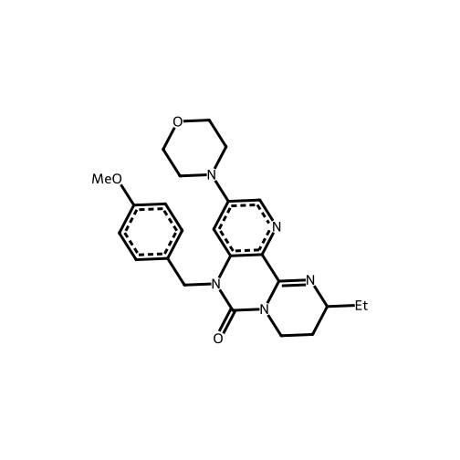 CCC1CCN2C(=O)N(Cc3ccc(OC)cc3)c3cc(N4CCOCC4)cnc3C2=N1